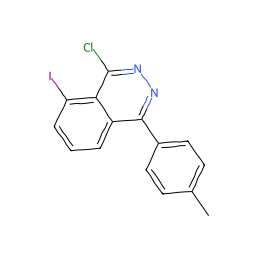 Cc1ccc(-c2nnc(Cl)c3c(I)cccc23)cc1